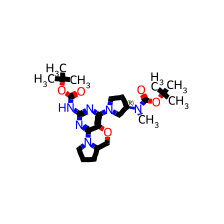 CN(C(=O)OC(C)(C)C)[C@@H]1CCN(c2nc(NC(=O)OC(C)(C)C)nc3c2OCC2CCCN32)C1